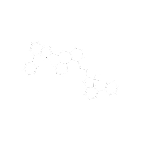 CC1(C)C(C=CC2=C(c3ccccc3)C(=CC=C3Nc4cccc(-c5ccccc5)c4C3(C)C)CCC2)=Nc2cccc(-c3ccccc3)c21